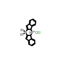 CC[Si]1(CC)C2=Cc3ccccc3[CH]2[Hf+2][CH]2C1=Cc1ccccc12.[Cl-].[Cl-]